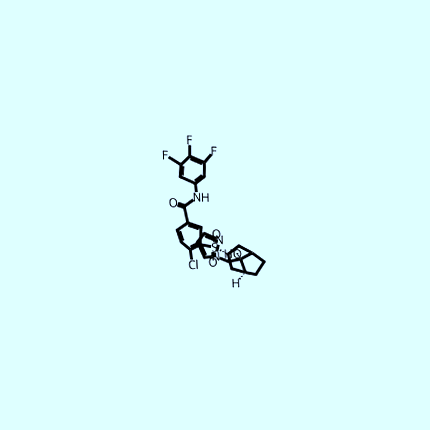 O=C(Nc1cc(F)c(F)c(F)c1)c1ccc(Cl)c(S(=O)(=O)[C@@H]2CC3CC[C@@H](C2)[C@@]3(O)Cn2cccn2)c1